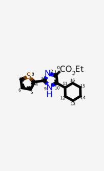 CCOC(=O)c1nc(-c2cccs2)[nH]c1C1CCCCC1